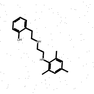 Cc1cc(C)c(NCCNCCc2ccccc2O)c(C)c1